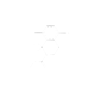 CCC1(C(=O)O)c2c(C)ccc(O)c2CCN1C(=O)OC(C)(C)C